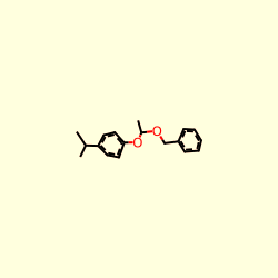 CC(OCc1ccccc1)Oc1ccc(C(C)C)cc1